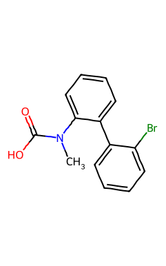 CN(C(=O)O)c1ccccc1-c1ccccc1Br